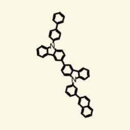 c1ccc(-c2ccc(-n3c4ccccc4c4cc(-c5ccc6c(c5)c5ccccc5n6-c5cccc(-c6ccc7ccccc7c6)c5)ccc43)cc2)cc1